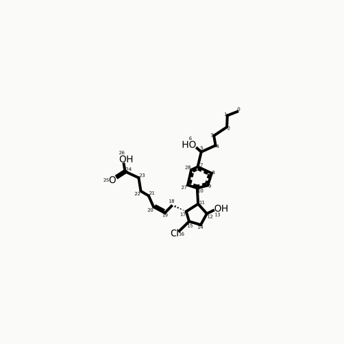 CCCCCC(O)c1ccc(C2C(O)CC(Cl)[C@@H]2C/C=C\CCCC(=O)O)cc1